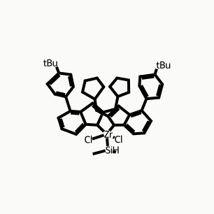 C[SiH](C)[Zr]([Cl])([Cl])([CH]1C(CC2CCCC2)=Cc2c(-c3ccc(C(C)(C)C)cc3)cccc21)[CH]1C(CC2CCCC2)=Cc2c(-c3ccc(C(C)(C)C)cc3)cccc21